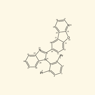 CC(C)c1cccc(C(C)C)c1-n1c(-c2ccc3oc4ncccc4c3c2)nc2ccccc21